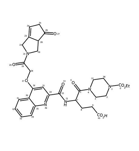 CCOC(=O)N1CCN(C(=O)C(CCC(=O)O)NC(=O)c2cc(OCC(=O)N3CC4=CCC(=O)C4C3)c3ccccc3n2)CC1